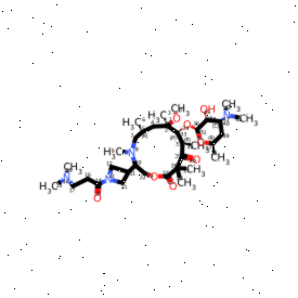 CO[C@]1(C)C[C@@H](C)CN(C)C(C2CN(C(=O)CCN(C)C)C2)COC(=O)C(C)(C)C(=O)[C@H](C)[C@H]1O[C@@H]1O[C@H](C)C[C@H](N(C)C)[C@H]1O